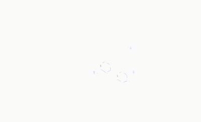 N[C@H]1CC[C@H](Nc2cc(-c3ccc(F)c(NCC4CCOCC4)n3)c(Cl)cn2)CC1